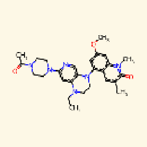 CCN1CCN(c2cc(OC)cc3c2cc(C)c(=O)n3C)c2cnc(N3CCN(C(C)=O)CC3)cc21